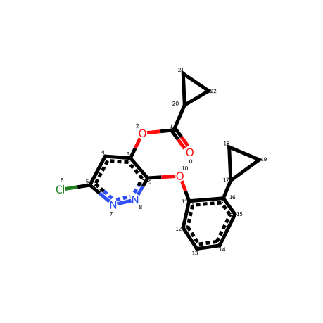 O=C(Oc1cc(Cl)nnc1Oc1ccccc1C1CC1)C1CC1